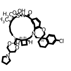 C[C@@H]1[C@@H](C)CCC[C@@H]([C@H]2OC[C@H](N3CCCC3)CO2)[C@@H]2CC[C@H]2CN2C[C@@]3(CCCc4cc(Cl)ccc43)COc3ccc(cc32)C(=O)NS1(=O)=O